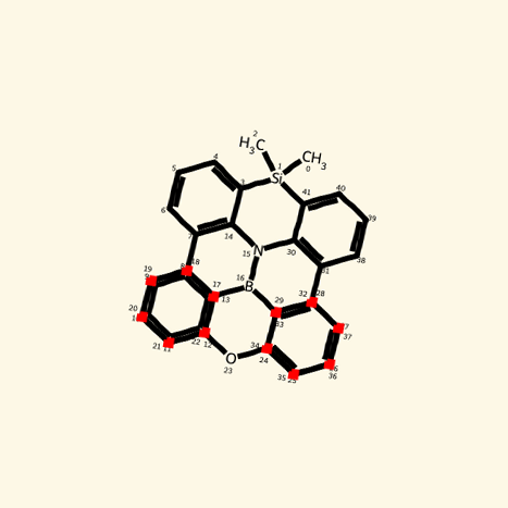 C[Si]1(C)c2cccc(-c3ccccc3)c2N(B2c3ccccc3Oc3ccccc32)c2c(-c3ccccc3)cccc21